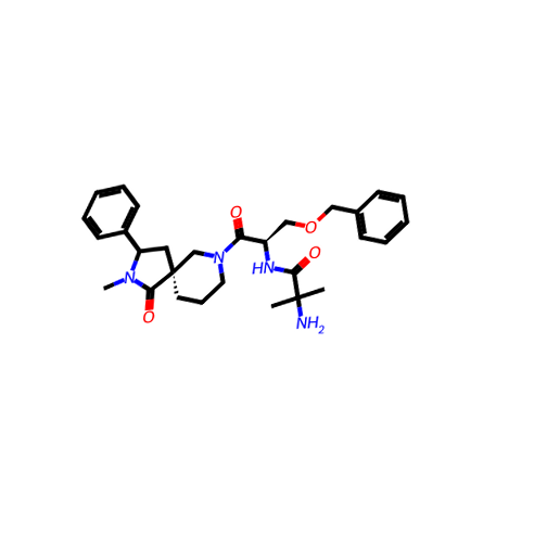 CN1C(=O)[C@@]2(CCCN(C(=O)[C@@H](COCc3ccccc3)NC(=O)C(C)(C)N)C2)CC1c1ccccc1